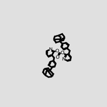 O=C(Oc1ncccc1Cc1ccc(C23CC4CC(CC(C4)C2)C3)cc1)Oc1ncccc1Cc1ccc(C23CC4CC(CC(C4)C2)C3)cc1